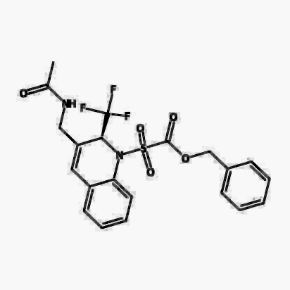 CC(=O)NCC1=Cc2ccccc2N(S(=O)(=O)C(=O)OCc2ccccc2)[C@@H]1C(F)(F)F